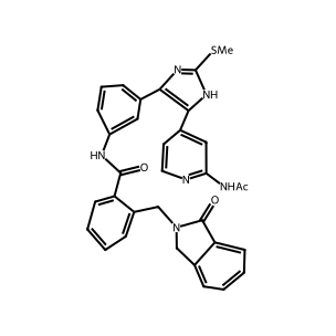 CSc1nc(-c2cccc(NC(=O)c3ccccc3CN3Cc4ccccc4C3=O)c2)c(-c2ccnc(NC(C)=O)c2)[nH]1